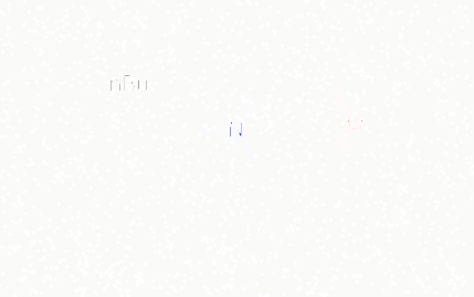 CCCCCN1CCOC(C)C1